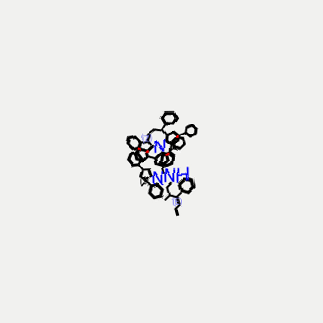 C=C/C=C(/c1ccccc1)C(C)CCNC(=NC1=CC(c2ccccc2)=C[C@@]1(C)c1ccccc1)c1cc(-c2ccccc2)c(N2C(=C)/C(c3ccccc3)=C\CC(c3ccccc3)c3cc(-c4ccccc4)cc(-c4ccccc4)c32)c(-c2ccccc2)c1